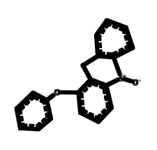 [O-][S+]1c2ccccc2Cc2c(Oc3ccccc3)cccc21